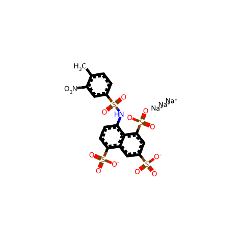 Cc1ccc(S(=O)(=O)Nc2ccc(S(=O)(=O)[O-])c3cc(S(=O)(=O)[O-])cc(S(=O)(=O)[O-])c23)cc1[N+](=O)[O-].[Na+].[Na+].[Na+]